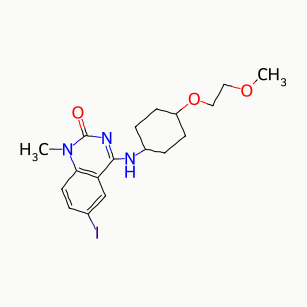 COCCOC1CCC(Nc2nc(=O)n(C)c3ccc(I)cc23)CC1